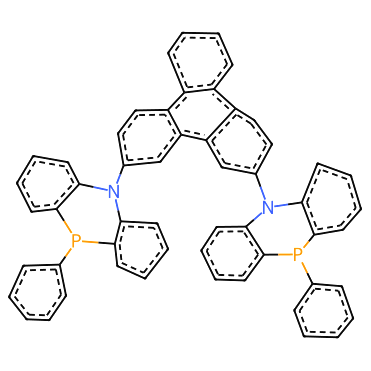 c1ccc(P2c3ccccc3N(c3ccc4c5ccccc5c5ccc(N6c7ccccc7P(c7ccccc7)c7ccccc76)cc5c4c3)c3ccccc32)cc1